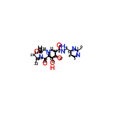 Cc1nccc(CNC(=O)c2cn3c(c(O)c2=O)C(=O)N2[C@@H](C)CO[C@@H]2C3)n1